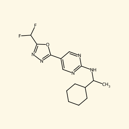 CC(Nc1ncc(-c2nnc(C(F)F)o2)cn1)C1CCCCC1